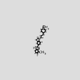 Cc1c(F)ccc2[nH]c(-c3ccc4c(c3)CCN4CCCC3CCN(C)CC3)nc12